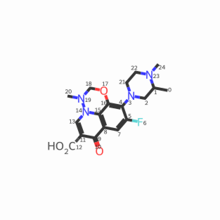 CC1CN(c2c(F)cc3c(=O)c(C(=O)O)cn4c3c2OCN4C)CCN1C